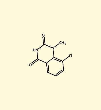 Cn1c(=O)[nH]c(=O)c2cccc(Cl)c21